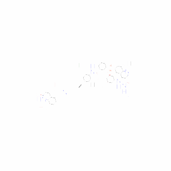 COc1cccc(Nc2c(C(N)=O)cnc3c(C)cc(S(=O)(=O)c4cccc(C(=O)Nc5ccc(C#CCCCNC[C@H](O)c6ccc(O)c7[nH]c(=O)ccc67)cc5)c4)cc23)c1.Cl